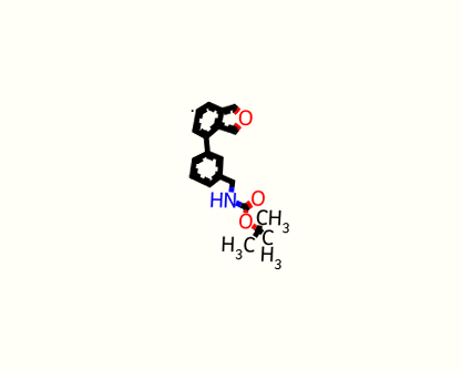 CC(C)(C)OC(=O)NCc1cccc(-c2c[c]cc3cocc23)c1